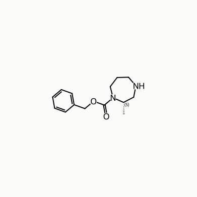 C[C@H]1CNCCCN1C(=O)OCc1ccccc1